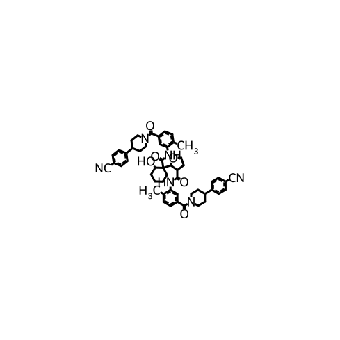 Cc1ccc(C(=O)N2CCC(c3ccc(C#N)cc3)CC2)cc1NC(=O)C1CCOC1C1(C(=O)Nc2cc(C(=O)N3CCC(c4ccc(C#N)cc4)CC3)ccc2C)CCCCC1O